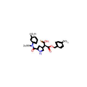 CC(=O)NN(C(=O)C1CC(C(C(=O)OCc2ccc([N+](=O)[O-])cc2)C(O)=S)CN1)c1cccc(C(=O)O)c1